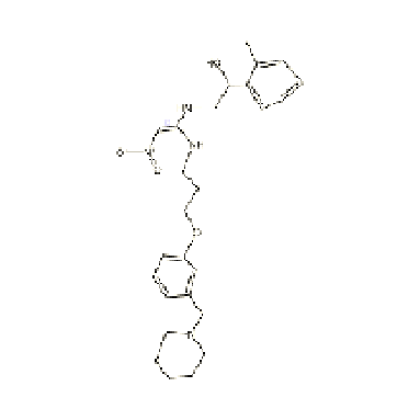 Cc1ccccc1C(O)CN/C(=C/[N+](=O)[O-])NCCCOc1cccc(CN2CCCCC2)c1